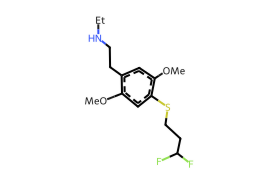 CCNCCc1cc(OC)c(SCCC(F)F)cc1OC